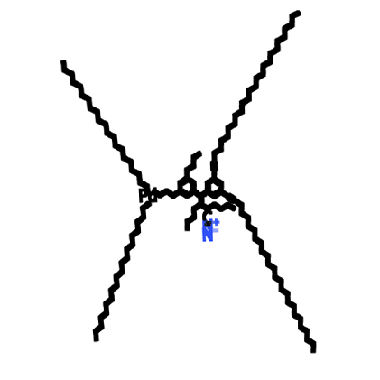 CCCCCCCCCCCCCCCCCCCCCCCCC#Cc1cc(C#CCCCCCCCCCCCCCCCCCCCCCCCC)cc(C(=C(CCCC)C(=C=[N+]=[N-])CCCC)c2cc(CCCC)cc(CCCC)c2)c1.CCCCCCCCCCCCCCCCCCCC[CH2][Pd][CH2]CCCCCCCCCCCCCCCCCCCC